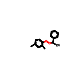 Cc1ccc(OOC(C#N)c2ccccc2)c(C)c1